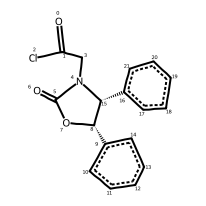 O=C(Cl)CN1C(=O)O[C@@H](c2ccccc2)[C@H]1c1ccccc1